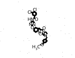 CCOc1ccc(CN2CCN(C(=O)c3cc4cc(Oc5ncc(NC(=O)c6ccc(Cl)c(Cl)c6)cn5)ccc4n3C)CC2)cc1